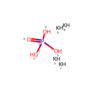 O=P(O)(O)O.[KH].[KH].[KH].[KH]